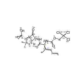 C=C/C=C(\C)C(NC(=O)OCC(Cl)(Cl)Cl)C(=O)N[C@@H]1C(=O)N2[C@@H]1SC(C)(C)[C@@H]2C(=O)O